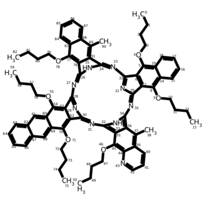 CCCCOc1c2c(c(OCCCC)c3ccccc13)-c1nc-2nc2[nH]c(nc3nc(nc4[nH]c(n1)c1c(C)c5cccnc5c(OCCCC)c41)-c1c-3c(OCCCC)c3cc4ccccc4cc3c1OCCCC)c1c(OCCCC)c3ccccc3c(C)c21